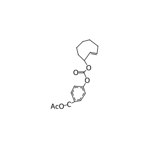 CC(=O)OCc1ccc(OC(=O)OC2/C=C/CCCCC2)cc1